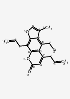 C=CCc1c2occ(C)c2c(CBr)c2c(CC=C)cc(=O)oc12